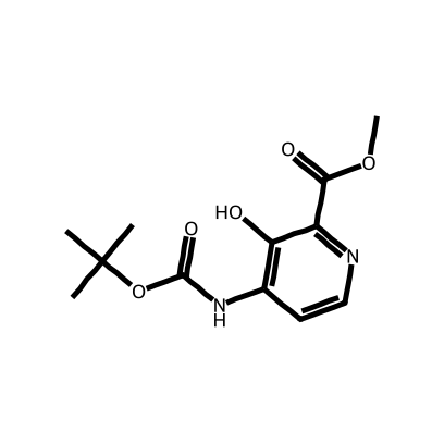 COC(=O)c1nccc(NC(=O)OC(C)(C)C)c1O